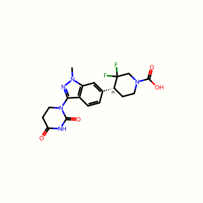 Cn1nc(N2CCC(=O)NC2=O)c2ccc([C@H]3CCN(C(=O)O)CC3(F)F)cc21